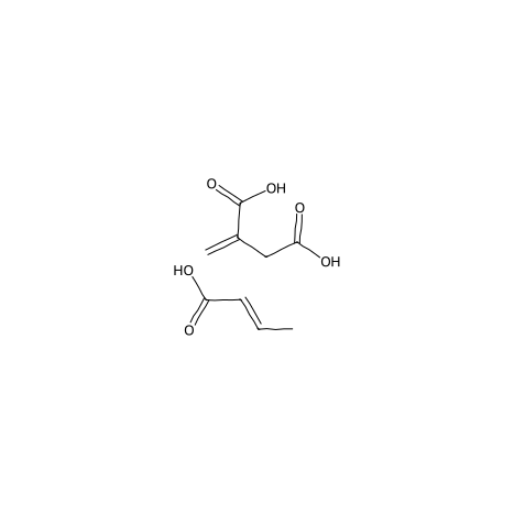 C=C(CC(=O)O)C(=O)O.CC=CC(=O)O